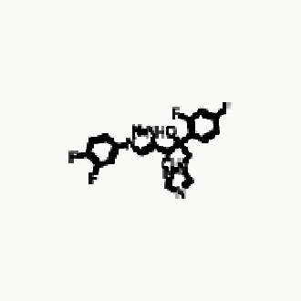 CC(c1cn(-c2ccc(F)c(F)c2)nn1)C(O)(Cn1cncn1)c1ccc(F)cc1F